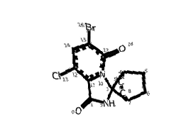 O=C1NC2(C3CCC2CC3)n2c1c(Cl)cc(Br)c2=O